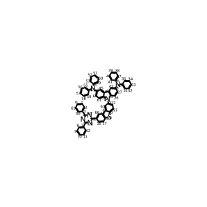 c1ccc(-c2nc(-c3ccccc3)nc(-c3ccc4sc5ccc(-n6c7ccc(N(c8ccccc8)c8ccccc8)cc7c7cc(N(c8ccccc8)c8ccccc8)ccc76)cc5c4c3)n2)cc1